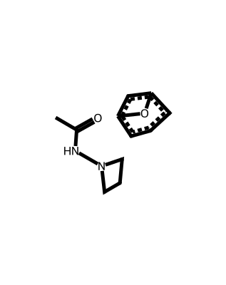 CC(=O)NN1CCC1.c1cc2cc(c1)O2